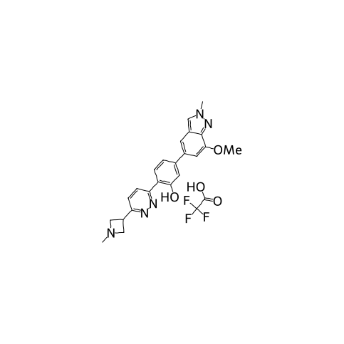 COc1cc(-c2ccc(-c3ccc(C4CN(C)C4)nn3)c(O)c2)cc2cn(C)nc12.O=C(O)C(F)(F)F